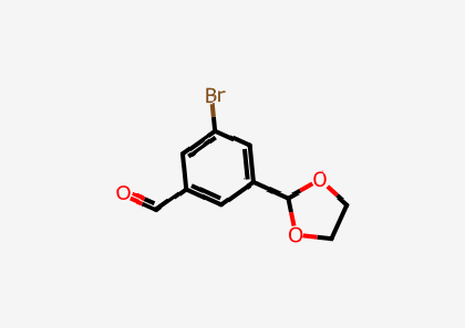 O=Cc1cc(Br)cc(C2OCCO2)c1